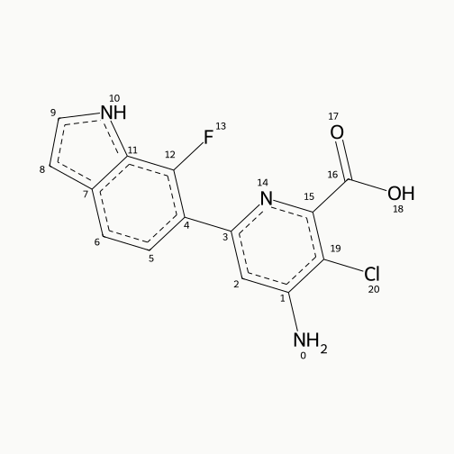 Nc1cc(-c2ccc3cc[nH]c3c2F)nc(C(=O)O)c1Cl